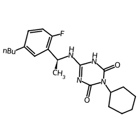 CCCCc1ccc(F)c([C@H](C)Nc2nc(=O)n(C3CCCCC3)c(=O)[nH]2)c1